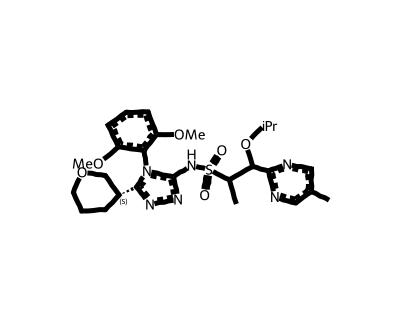 COc1cccc(OC)c1-n1c(NS(=O)(=O)C(C)C(OC(C)C)c2ncc(C)cn2)nnc1[C@@H]1CCCOC1